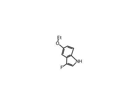 CCOc1ccc2[nH]cc(F)c2c1